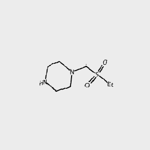 CCS(=O)(=O)[CH]N1CCNCC1